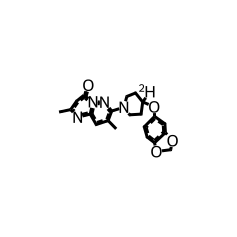 [2H]C1(Oc2ccc3c(c2)OCO3)CCN(c2nn3c(=O)cc(C)nc3cc2C)CC1